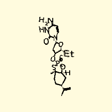 C=C(C)[C@@H]1CC[C@]2(C)S[P@@](=S)(O[C@H]3C[C@H](N4C=CC(N)NC4=O)O[C@@H]3CC)O[C@H]2C1